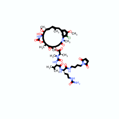 COc1cc2cc(c1Cl)N(C)C(=O)C[C@H](OC(=O)[C@H](C)N(C)C(=O)N[C@H](C(=O)N[C@@H](CCCNC(N)=O)C(=O)NCCCCN1C(=O)C=CC1=O)C(C)C)C1(C)OC1C(C)C1CC(O)(NC(=O)O1)C(OC)/C=C/C=C(\C)C2